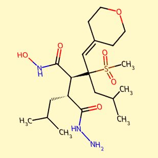 CC(C)C[C@@H](C(=O)NN)[C@@H](C(=O)NO)C(C=C1CCOCC1)(CC(C)C)S(C)(=O)=O